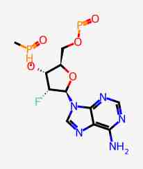 C[PH](=O)O[C@H]1[C@@H](F)[C@H](n2cnc3c(N)ncnc32)O[C@@H]1COP=O